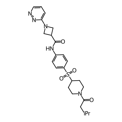 CC(C)CC(=O)N1CCC(S(=O)(=O)c2ccc(NC(=O)C3CN(c4cccnn4)C3)cc2)CC1